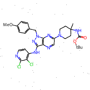 COc1ccc(Cn2nc(Nc3ccnc(Cl)c3Cl)c3ncc(N4CCC(C)(NC(=O)OC(C)(C)C)CC4)nc32)cc1